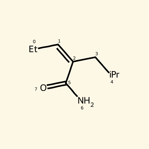 CCC=C(CC(C)C)C(N)=O